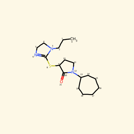 CCCN1CCN=C1SC1CCN(C2CCCCCC2)C1=O